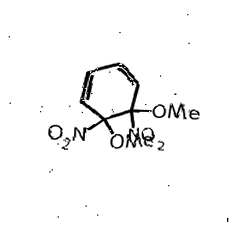 COC1([N+](=O)[O-])C=CC=CC1(OC)[N+](=O)[O-]